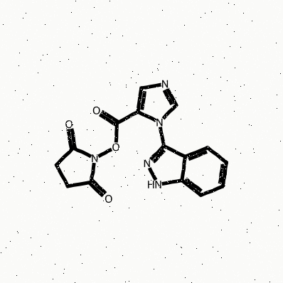 O=C(ON1C(=O)CCC1=O)c1cncn1-c1n[nH]c2ccccc12